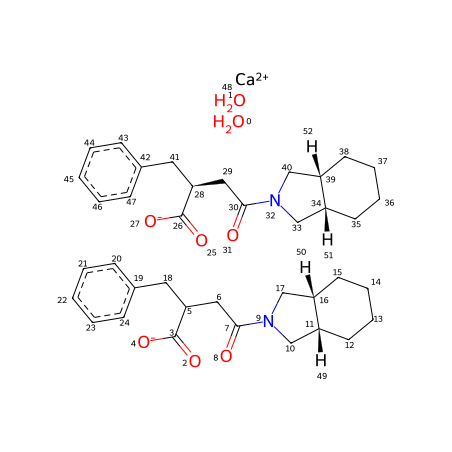 O.O.O=C([O-])C(CC(=O)N1C[C@H]2CCCC[C@H]2C1)Cc1ccccc1.O=C([O-])[C@H](CC(=O)N1C[C@H]2CCCC[C@H]2C1)Cc1ccccc1.[Ca+2]